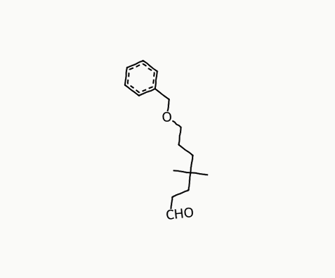 CC(C)(CCC=O)CCCOCc1ccccc1